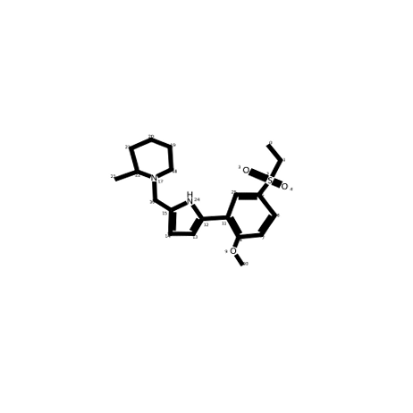 CCS(=O)(=O)c1ccc(OC)c(-c2ccc(CN3CCCCC3C)[nH]2)c1